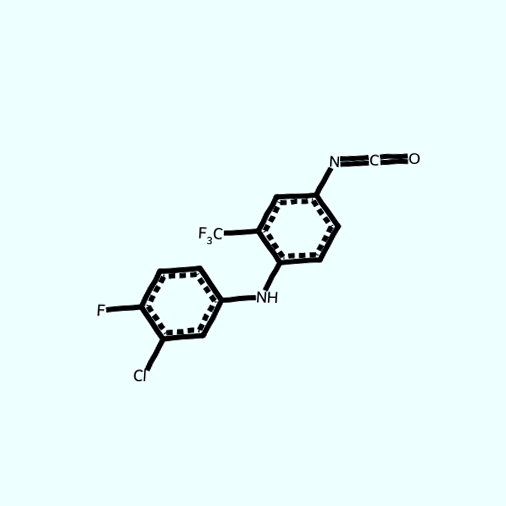 O=C=Nc1ccc(Nc2ccc(F)c(Cl)c2)c(C(F)(F)F)c1